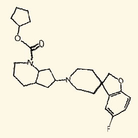 O=C(OC1CCCC1)N1CCCC2CC(N3CCC4(CC3)COc3ccc(F)cc34)CC21